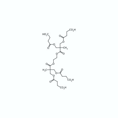 CC(COC(=O)CCC(=O)O)(COC(=O)CCC(=O)O)C(=O)OCCOC(=O)C(C)(COC(=O)CCC(=O)O)COC(=O)CCC(=O)O